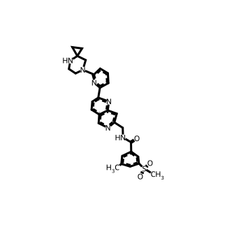 Cc1cc(C(=O)NCc2cc3nc(-c4cccc(N5CCNC6(CC6)C5)n4)ccc3cn2)cc(S(C)(=O)=O)c1